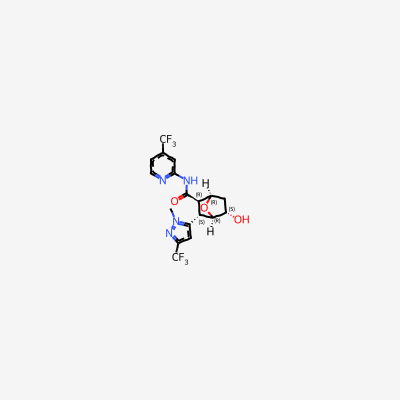 Cn1nc(C(F)(F)F)cc1[C@H]1[C@H]2O[C@H](C[C@@H]2O)[C@@H]1C(=O)Nc1cc(C(F)(F)F)ccn1